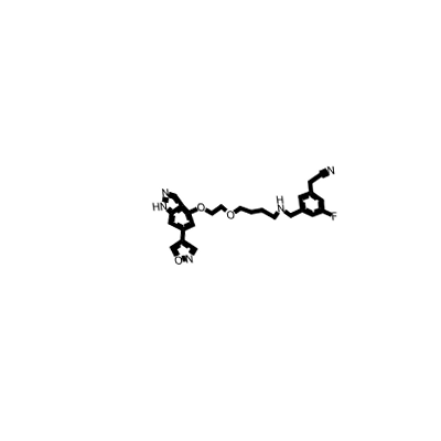 N#CCc1cc(F)cc(CNCCCCOCCOc2cc(-c3cnoc3)cc3[nH]ncc23)c1